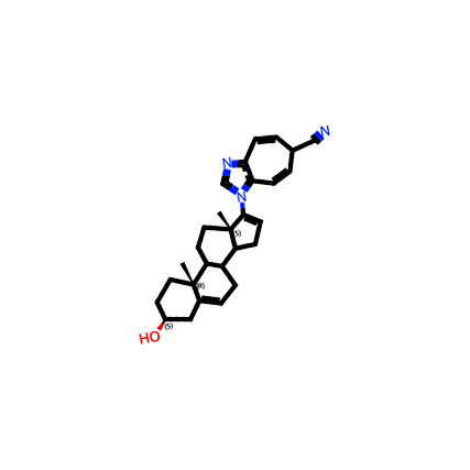 C[C@]12CC[C@H](O)CC1=CCC1C2CC[C@]2(C)C(n3cnc4c3C=CC(C#N)C=C4)=CCC12